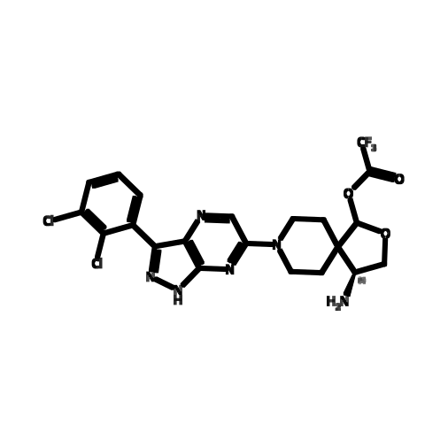 N[C@@H]1COC(OC(=O)C(F)(F)F)C12CCN(c1cnc3c(-c4cccc(Cl)c4Cl)n[nH]c3n1)CC2